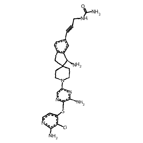 NC(=O)NCC#Cc1ccc2c(c1)[C@@H](N)C1(CCN(c3cnc(Sc4ccnc(N)c4Cl)c(N)n3)CC1)C2